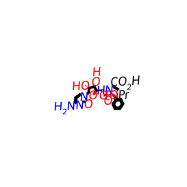 CC(C)CC(NP(=O)(OC[C@H]1O[C@@H](n2ccc(N)nc2=O)[C@H](O)[C@@H]1O)Oc1ccccc1)C(=O)O